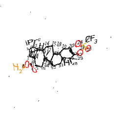 CC(C)[C@@H]1CC[C@]2(C(=O)OP)CC[C@]3(C)[C@H](CCC4[C@@]5(C)CC=C(OS(=O)(=O)C(F)(F)F)C(C)(C)[C@@H]5CC[C@]43C)[C@@H]12